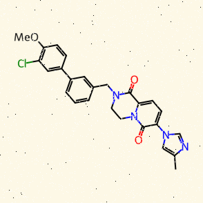 COc1ccc(-c2cccc(CN3CCn4c(ccc(-n5cnc(C)c5)c4=O)C3=O)c2)cc1Cl